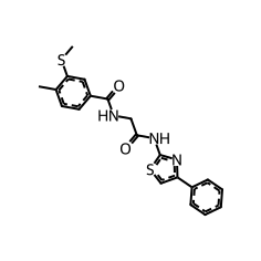 CSc1cc(C(=O)NCC(=O)Nc2nc(-c3ccccc3)cs2)ccc1C